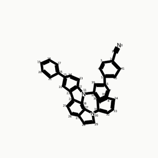 N#Cc1ccc(-c2cccc(-n3c4ccc(-c5ccccc5)cc4c4ccc5ccn(-c6ccccc6)c5c43)c2)cc1